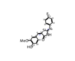 COc1cc(/C=C2/S/C(=N\c3ccc(F)cc3)NC2=O)ccc1O